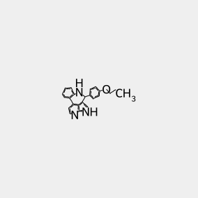 CCCOc1ccc(C2Nc3ccccc3-c3ccnc4[nH]cc2c34)cc1